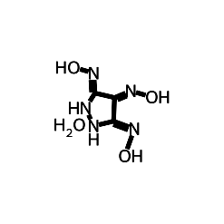 O.ON=C1NNC(=NO)C1=NO